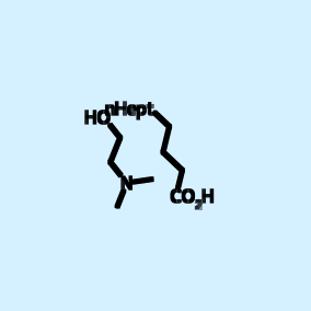 CCCCCCCCCCC(=O)O.CN(C)CCO